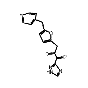 O=C(Cc1ccc(Cc2ccncc2)o1)C(=O)c1nc[nH]n1